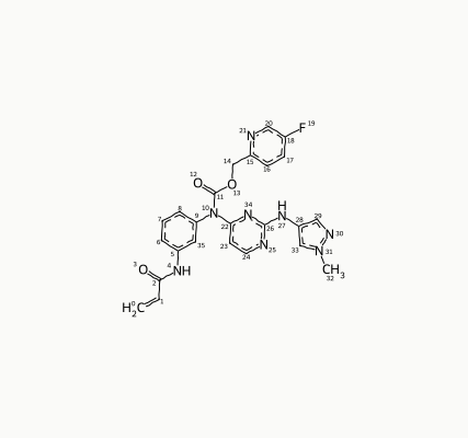 C=CC(=O)Nc1cccc(N(C(=O)OCc2ccc(F)cn2)c2ccnc(Nc3cnn(C)c3)n2)c1